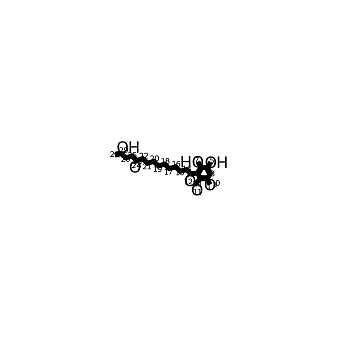 COc1cc(O)c(O)c2c1C(=O)OC2CCCCCCCCCC(=O)CCC(C)O